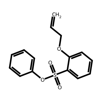 C=CCOc1ccccc1S(=O)(=O)Oc1ccccc1